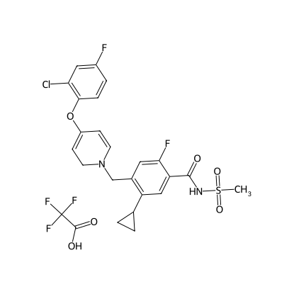 CS(=O)(=O)NC(=O)c1cc(C2CC2)c(CN2C=CC(Oc3ccc(F)cc3Cl)=CC2)cc1F.O=C(O)C(F)(F)F